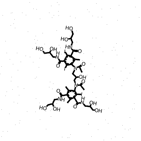 CC(=O)N(CC(O)CN(C(C)=O)c1c(C)c(C(=O)NCC(O)CO)c(I)c(C(=O)NCC(O)CO)c1I)c1c(C)c(C(=O)NCC(O)CO)c(C)c(C(=O)NCC(O)CO)c1I